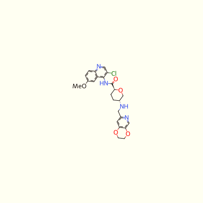 COc1ccc2ncc(Cl)c(NC(=O)[C@@H]3CC[C@@H](NCc4cc5c(cn4)OCCO5)CO3)c2c1